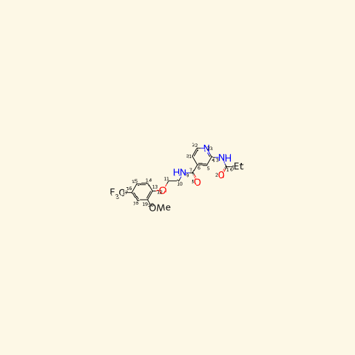 CCC(=O)Nc1cc(C(=O)NCCOc2ccc(C(F)(F)F)cc2OC)ccn1